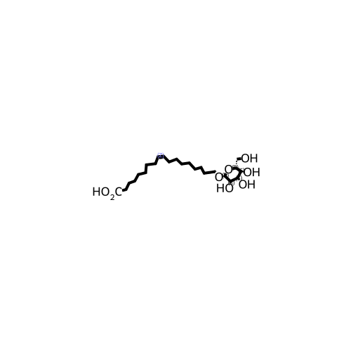 O=C(O)CCCCCCC/C=C\CCCCCCCCO[C@@H]1O[C@H](CO)[C@@H](O)[C@H](O)[C@H]1O